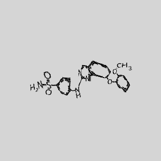 COc1ccccc1Oc1cccc2cnc(Nc3ccc(S(N)(=O)=O)cc3)nc12